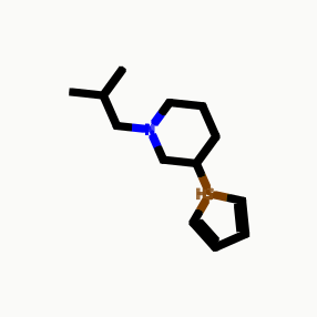 C[C](C)CN1CCCC([SH]2C=CC=C2)C1